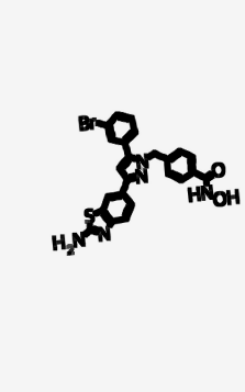 Nc1nc2ccc(-c3cc(-c4cccc(Br)c4)n(Cc4ccc(C(=O)NO)cc4)n3)cc2s1